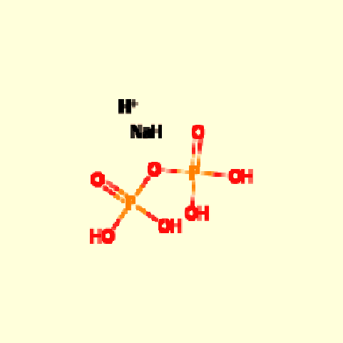 O=P(O)(O)OP(=O)(O)O.[H+].[NaH]